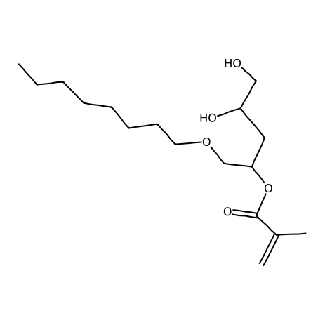 C=C(C)C(=O)OC(COCCCCCCCC)CC(O)CO